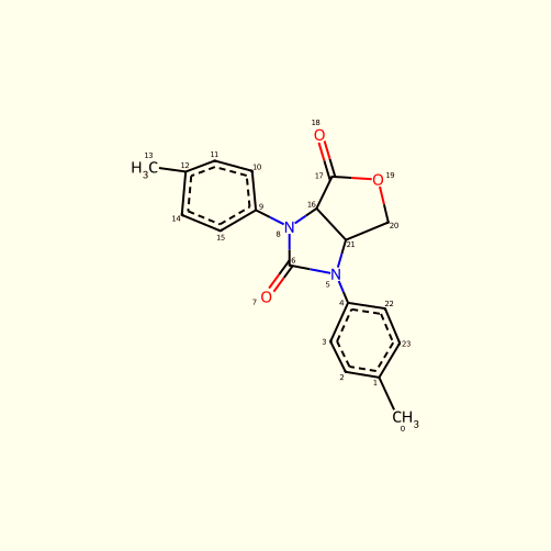 Cc1ccc(N2C(=O)N(c3ccc(C)cc3)C3C(=O)OCC32)cc1